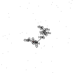 CC(C)(C)OC(=O)CC[C@H](NC(=O)N[C@@H](CCC(=O)NCCCCCCCC(=O)N[C@@H](Cc1ccccc1)C(=O)N[C@@H](Cc1ccccc1)C(=O)NCCNC(=O)OCc1ccccc1)C(=O)OC(C)(C)C)C(=O)OC(C)(C)C